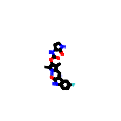 Cc1[nH]c(/C=C2\C(=O)Nc3ccc(F)cc32)c(C)c1OC(=O)N[C@H]1CCNC1=O